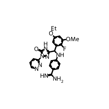 CCOc1cc(OC)c(F)c(C(Nc2ccc(C(=N)N)cc2)c2nn(-c3cccnn3)c(=O)[nH]2)c1